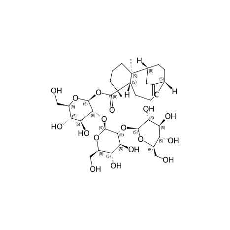 C=C1C[C@H]2CC[C@@H]1CCC[C@H]1[C@@]2(C)CCC[C@@]1(C)C(=O)O[C@@H]1O[C@H](CO)[C@@H](O)[C@H](O)[C@H]1O[C@@H]1O[C@H](CO)[C@@H](O)[C@H](O)[C@H]1O[C@@H]1O[C@H](CO)[C@@H](O)[C@H](O)[C@H]1O